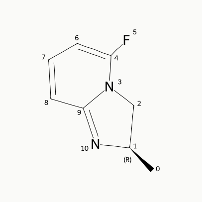 C[C@@H]1CN2C(F)=CC=CC2=N1